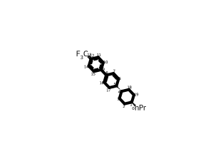 CCC[C@H]1CC[C@H](C2C=CC(c3ccc(C(F)(F)F)cc3)=CC2)CC1